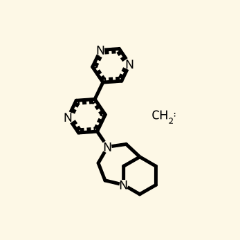 [CH2].c1ncc(-c2cncc(N3CCN4CCCC(C4)C3)c2)cn1